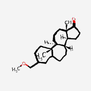 COCC1CC[C@@]2(C)C(CC[C@@H]3[C@@H]2CC[C@]2(C)C(=O)CC[C@@H]32)C1